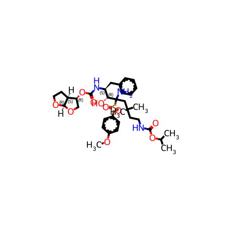 COc1ccc(S(=O)(=O)C(N)(CC(C)(C)CCNC(=O)OC(C)C)[C@H](O)[C@H](Cc2ccccc2)NC(=O)O[C@H]2CO[C@H]3OCC[C@H]32)cc1